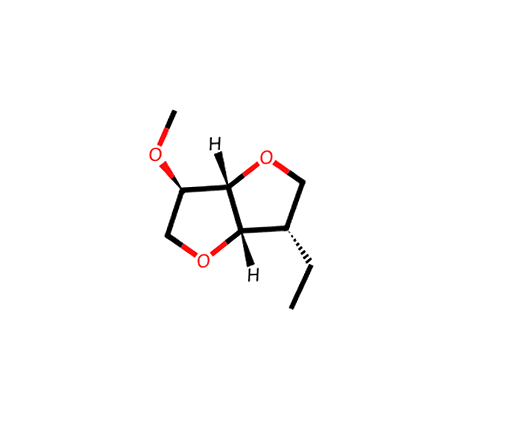 CC[C@H]1CO[C@@H]2[C@H]1OC[C@H]2OC